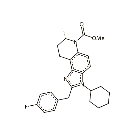 COC(=O)N1c2ccc3c(nc(Cc4ccc(F)cc4)n3C3CCCCC3)c2CC[C@@H]1C